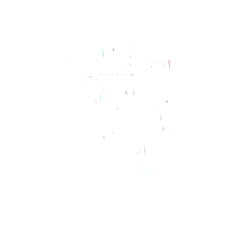 CCC(F)(F)C(C)(O)c1ccc(F)cc1